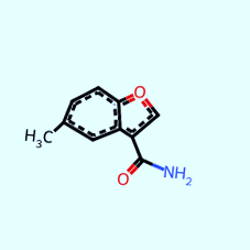 Cc1ccc2occ(C(N)=O)c2c1